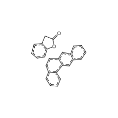 O=C1Cc2ccccc2O1.c1ccc2cc3c(ccc4ccccc43)cc2c1